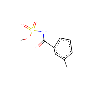 CCCOS(=O)(=O)NC(=O)c1cccc(C=O)c1